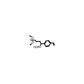 C=Cc1ccc(C(CCC[Si](C)(OC)OC)OO)cc1